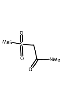 CNC(=O)CS(=O)(=O)SC